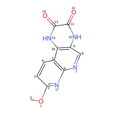 COc1ccc2c(ncc3[nH]c(=O)c(=O)[nH]c32)n1